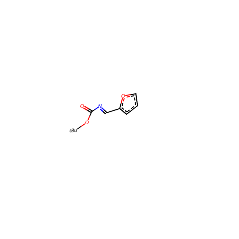 CC(C)(C)OC(=O)N=Cc1ccco1